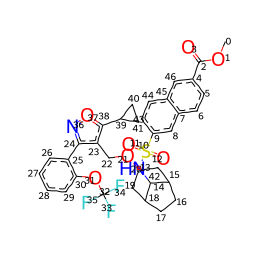 COC(=O)c1ccc2cc(S(=O)(=O)NC3C4CCC3CC(OCc3c(-c5ccccc5OC(F)(F)F)noc3C3CC3)C4)ccc2c1